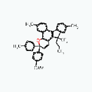 COc1ccc(C2(c3ccc(C)cc3)C=Cc3c4c(c5ccc(C)cc5c3O2)-c2ccc(C)cc2C4(CCC(F)(F)F)C(F)(F)F)cc1